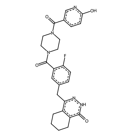 O=C(c1ccc(O)nc1)N1CCN(C(=O)c2cc(Cc3n[nH]c(=O)c4c3CCCC4)ccc2F)CC1